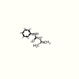 CC(C)OC(=O)Nc1ccccc1